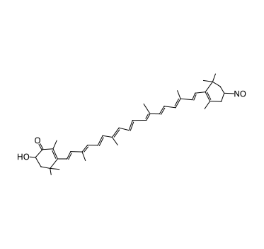 CC1=C(/C=C/C(C)=C/C=C/C(C)=C/C=C/C=C(C)/C=C/C=C(C)/C=C/C2=C(C)C(=O)C(O)CC2(C)C)C(C)(C)CC(N=O)C1